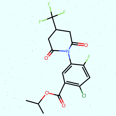 CC(C)OC(=O)c1cc(N2C(=O)CC(C(F)(F)F)CC2=O)c(F)cc1Cl